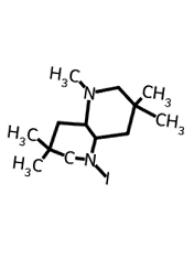 CN1CC(C)(C)CC2C1CC(C)(C)CN2I